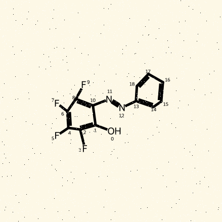 Oc1c(F)c(F)c(F)c(F)c1N=Nc1ccccc1